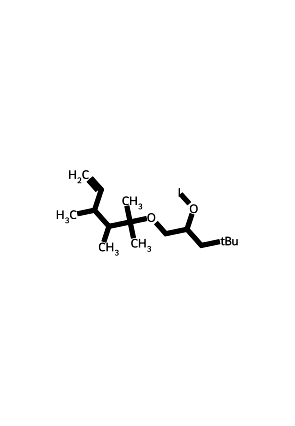 C=CC(C)C(C)C(C)(C)OCC(CC(C)(C)C)OI